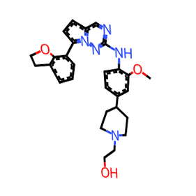 COc1cc(C2CCN(CCO)CC2)ccc1Nc1ncc2ccc(-c3cccc4c3OCC4)n2n1